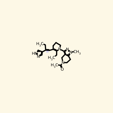 CCC1=C(/C=C(\CC)c2cn[nH]c2)CCCN1c1nn(C)c2c1CN(C(C)=O)CC2